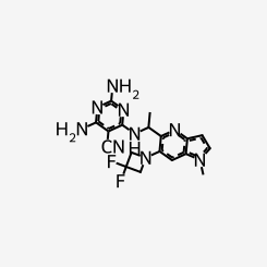 CC(Nc1nc(N)nc(N)c1C#N)c1nc2ccn(C)c2cc1N1CC(F)(F)C1